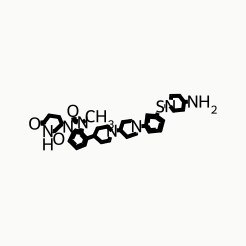 Cn1c(=O)n(C2CCC(=O)NC2=O)c2cccc(C3CCN(C4CCN(c5cccc(SN6CCC(N)CC6)c5)CC4)CC3)c21